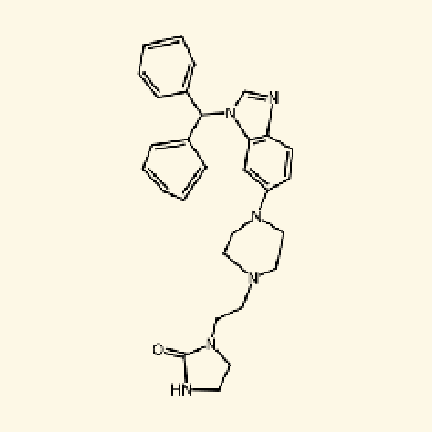 O=C1NCCN1CCN1CCN(c2ccc3ncn(C(c4ccccc4)c4ccccc4)c3c2)CC1